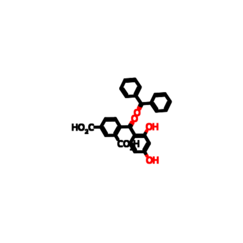 O=C(O)c1ccc(C(=O)c2ccc(O)cc2O)c(C(=O)O)c1.O=C(c1ccccc1)c1ccccc1